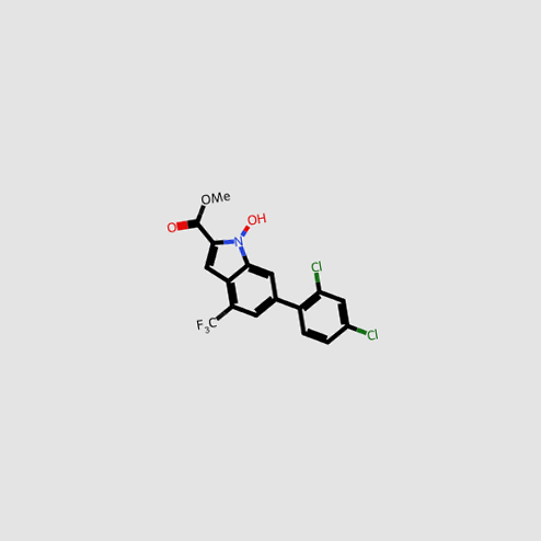 COC(=O)c1cc2c(C(F)(F)F)cc(-c3ccc(Cl)cc3Cl)cc2n1O